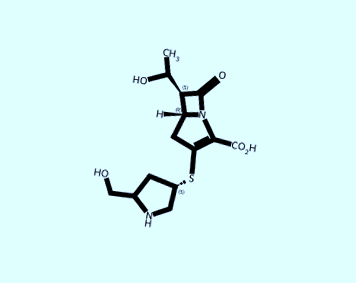 CC(O)[C@H]1C(=O)N2C(C(=O)O)=C(S[C@@H]3CNC(CO)C3)C[C@H]12